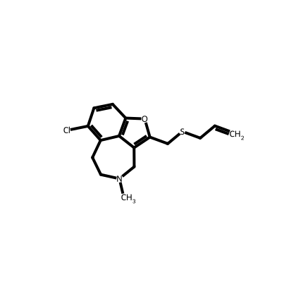 C=CCSCc1oc2ccc(Cl)c3c2c1CN(C)CC3